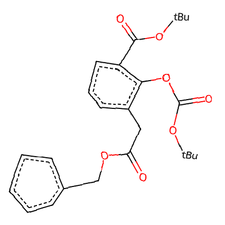 CC(C)(C)OC(=O)Oc1c(CC(=O)OCc2ccccc2)cccc1C(=O)OC(C)(C)C